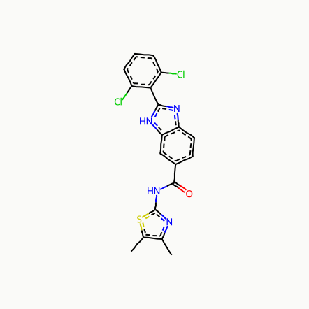 Cc1nc(NC(=O)c2ccc3nc(-c4c(Cl)cccc4Cl)[nH]c3c2)sc1C